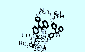 CC/C(=C(\c1ccccc1)c1ccc(OCCN(C)C)cc1)c1ccccc1.CC/C(=C(\c1ccccc1)c1ccc(OCCN(C)C)cc1)c1ccccc1.O=C(O)CC(O)(CC(=O)OC(CC(=O)O)(CC(=O)O)C(=O)O)C(=O)O